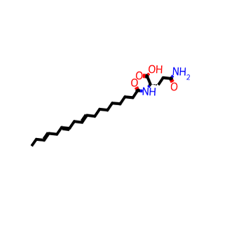 CCC=CCC=CCC=CCCCCCCCC(=O)N[C@@H](CCC(N)=O)C(=O)O